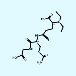 CCN(CC)[C@@H](CCC(=O)N[C@@H](CSC(N)=O)C(=O)NCC(=O)O)C(=O)O